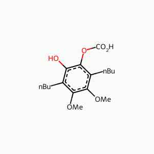 CCCCc1c(O)c(OC(=O)O)c(CCCC)c(OC)c1OC